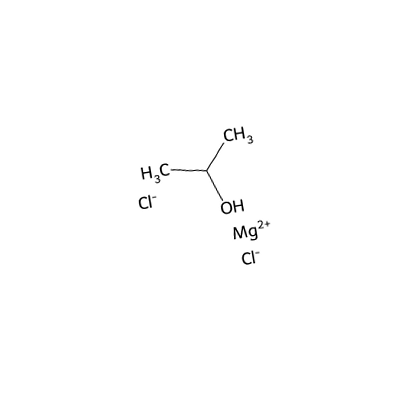 CC(C)O.[Cl-].[Cl-].[Mg+2]